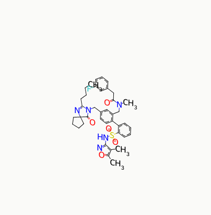 CCCCC1=NC2(CCCC2)C(=O)N1Cc1ccc(-c2ccccc2S(=O)(=O)Nc2noc(C)c2C)c(CN(C)C(=O)Cc2cccc(F)c2)c1